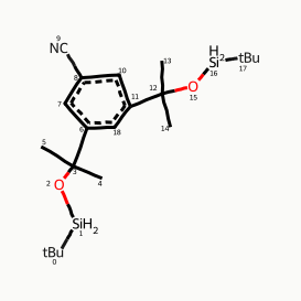 CC(C)(C)[SiH2]OC(C)(C)c1cc(C#N)cc(C(C)(C)O[SiH2]C(C)(C)C)c1